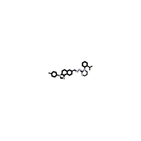 Cc1ccc(-n2cnc3c4ccc(/C=N/N=C5\SCCCN5c5ccccc5C(C)C)cc4ccc32)cc1